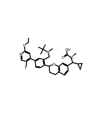 CCOc1cc(-c2ccc(C3CCc4ccc(C(C5CC5)[C@H](C)C(=O)O)cc4O3)c(CN(C)C(C)(C)C)c2)c(F)cn1